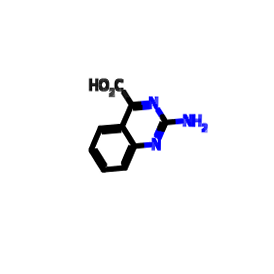 Nc1nc(C(=O)O)c2ccccc2n1